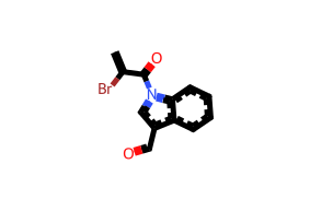 C=C(Br)C(=O)n1cc(C=O)c2ccccc21